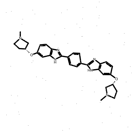 CN1CC[C@@H](Oc2ccc3nc(-c4ccc(-c5nc6ccc(O[C@@H]7CCN(C)C7)cc6[nH]5)cc4)[nH]c3c2)C1